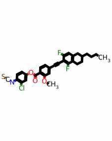 CCCCC1CCc2c(cc(F)c(C#Cc3ccc(C(=O)Oc4ccc(N=C=S)c(Cl)c4)c(OC)c3)c2F)C1